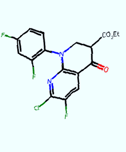 CCOC(=O)C1CN(c2ccc(F)cc2F)c2nc(Cl)c(F)cc2C1=O